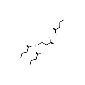 CCCC(=O)O.CCCC(=O)O.CCCC(=O)OOC(=O)CCC